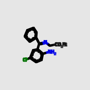 CCOC(=O)CN=C(c1ccccc1)c1cc(Cl)ccc1N